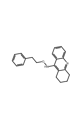 c1ccc(CCONc2c3c(nc4ccccc24)CCCC3)cc1